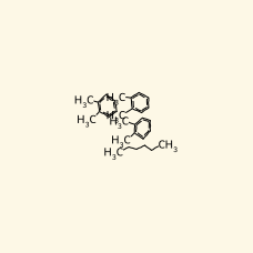 CCCCCC.Cc1ccccc1C.Cc1ccccc1C.Cc1ccccc1C